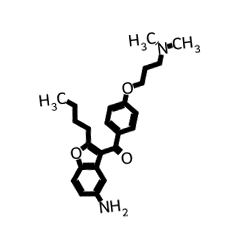 CCCCc1oc2ccc(N)cc2c1C(=O)c1ccc(OCCCN(C)C)cc1